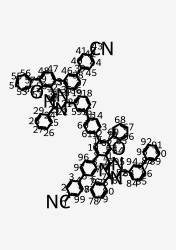 N#Cc1ccc(-c2ccc(-c3cc(-c4ccc(-c5cccc(-c6nc(-c7ccccc7)nc(-c7c(-c8cccc(-c9ccc(C#N)cc9)c8)ccc8c7oc7ccccc78)n6)c5)cc4)c4c(oc5ccccc54)c3-c3nc(-c4ccccc4)nc(-c4cccc(-c5ccccc5)c4)n3)cc2)cc1